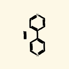 C=C.c1cc(-c2ccncc2)ccn1